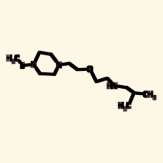 CSN1CCN(CCOCCNCC(C)C)CC1